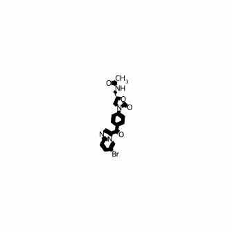 CC(=O)NC[C@H]1CN(c2ccc(C(=O)c3cnc4ccc(Br)cn34)cc2)C(=O)O1